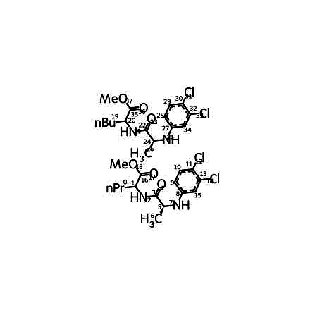 CCCC(NC(=O)[C@H](C)Nc1ccc(Cl)c(Cl)c1)C(=O)OC.CCCCC(NC(=O)[C@H](C)Nc1ccc(Cl)c(Cl)c1)C(=O)OC